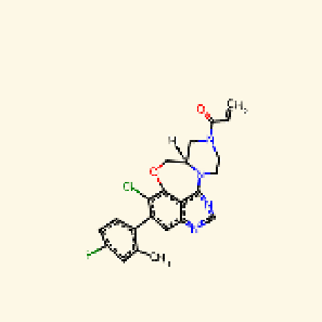 C=CC(=O)N1CCN2c3ncnc4cc(-c5ccc(F)cc5C)c(Cl)c(c34)OC[C@@H]2C1